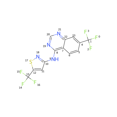 FC(F)(F)c1ccc2c(Nc3cc(C(F)(F)F)sn3)ncnc2c1